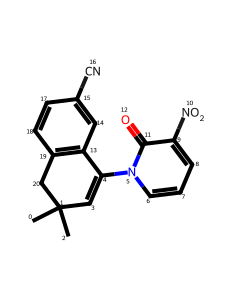 CC1(C)C=C(n2cccc([N+](=O)[O-])c2=O)c2cc(C#N)ccc2C1